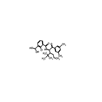 CCCC(N(NC(=O)c1cccc(B(O)O)c1Cl)C(=O)c1cc(C)cc(C)c1)C(C)(C)C